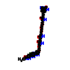 C=CC(=O)Nc1cccc(Nc2nc(Nc3ccc(OCCOCCNC(=O)CCCC(=O)NCCCOCCOCCOCCCNC(=O)CCCCC[C@@H]4SC[C@@H]5NC(=O)N[C@@H]54)cc3)ncc2F)c1